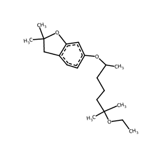 CCOC(C)(C)CCCC(C)Oc1ccc2c(c1)OC(C)(C)C2